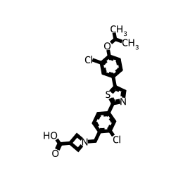 CC(C)Oc1ccc(-c2cnc(-c3ccc(CN4CC(C(=O)O)C4)c(Cl)c3)s2)cc1Cl